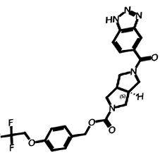 O=C(OCc1ccc(OCC(F)(F)F)cc1)N1CC2CN(C(=O)c3ccc4[nH]nnc4c3)C[C@H]2C1